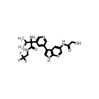 CC(C)C(N)(C(=O)NCC(F)(F)F)c1cncc(-c2c[nH]c3ncc(NC(=O)CO)cc23)c1